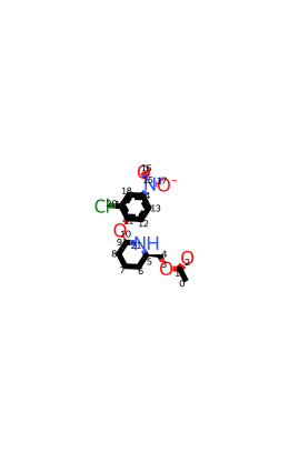 CC(=O)OC[C@H]1CCC[C@H](Oc2ccc([N+](=O)[O-])cc2Cl)N1